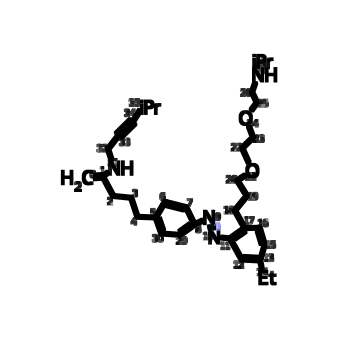 C=C(CCCc1ccc(/N=N/c2cc(CC)ccc2CCCOCCOCCNC(C)C)cc1)NCC#CC(C)C